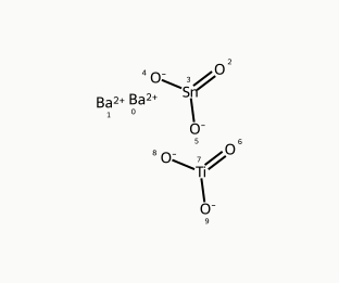 [Ba+2].[Ba+2].[O]=[Sn]([O-])[O-].[O]=[Ti]([O-])[O-]